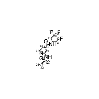 O=C(Nc1cc(F)c(F)c(F)c1)c1ccnc(NS(=O)(=O)C2CC2)c1